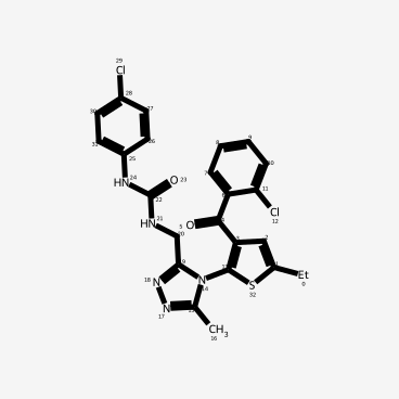 CCc1cc(C(=O)c2ccccc2Cl)c(-n2c(C)nnc2CNC(=O)Nc2ccc(Cl)cc2)s1